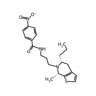 CCC[C@@H]1Cc2ccsc2[C@H](C)N1CCCNC(=O)c1ccc([N+](=O)[O-])cc1